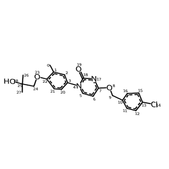 Cc1cc(-n2ccc(OCc3ccc(Cl)cc3)nc2=O)ccc1OCC(C)(C)O